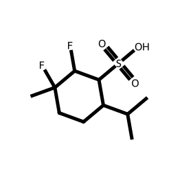 CC(C)C1CCC(C)(F)C(F)C1S(=O)(=O)O